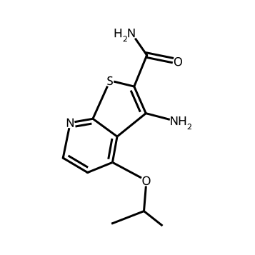 CC(C)Oc1ccnc2sc(C(N)=O)c(N)c12